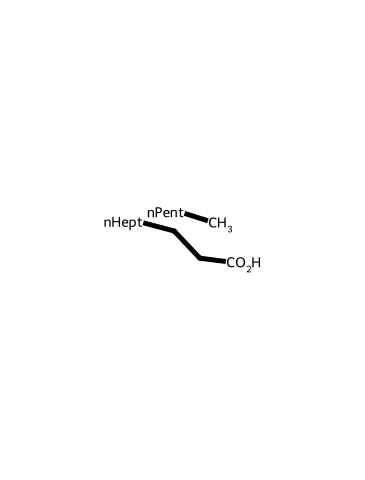 CCCCCC.CCCCCCCCCC(=O)O